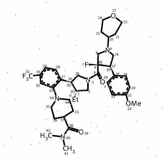 CC[C@H]1CN(C(=O)[C@]2(F)CN(C3CCOCC3)C[C@H]2c2ccc(OC)cc2)C[C@@H]1c1ccc(C(F)(F)F)cc1N1CCC(C(=O)N(C)C)CC1